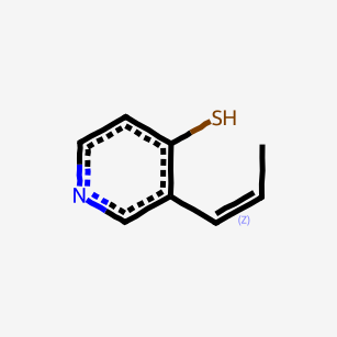 C/C=C\c1cnccc1S